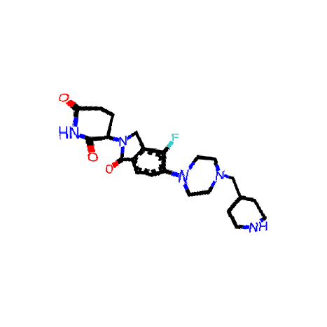 O=C1CCC(N2Cc3c(ccc(N4CCN(CC5CCNCC5)CC4)c3F)C2=O)C(=O)N1